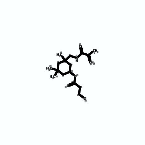 C=C(C)C(=O)NCC1(C)CC(OC(=O)CCCl)CC(C)(C)C1